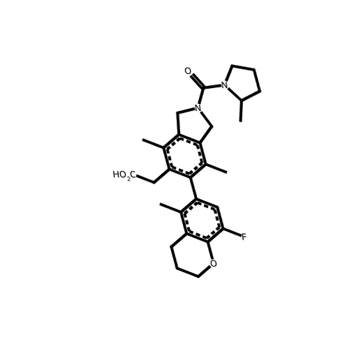 Cc1c(-c2c(C)c3c(c(C)c2CC(=O)O)CN(C(=O)N2CCCC2C)C3)cc(F)c2c1CCCO2